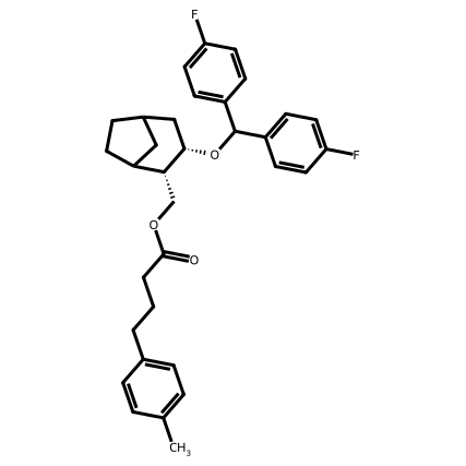 Cc1ccc(CCCC(=O)OC[C@@H]2C3CCC(C3)C[C@@H]2OC(c2ccc(F)cc2)c2ccc(F)cc2)cc1